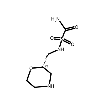 NC(=O)S(=O)(=O)NC[C@@H]1CNCCO1